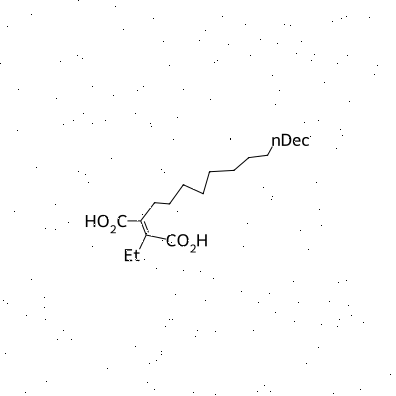 CCCCCCCCCCCCCCCCCC/C(C(=O)O)=C(/CC)C(=O)O